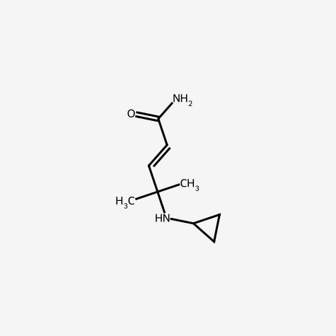 CC(C)(C=CC(N)=O)NC1CC1